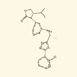 CC(C)C1COC(=O)N1c1ccnc(N[C@H](C)c2nc(-c3ccccc3Cl)no2)n1